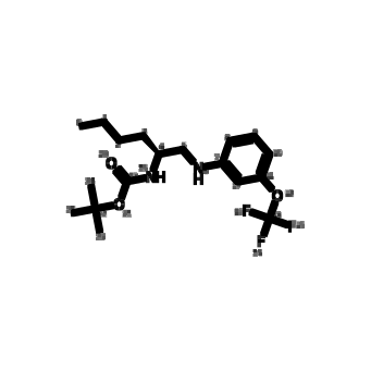 CCCC[C@@H](CNc1cccc(OC(F)(F)F)c1)NC(=O)OC(C)(C)C